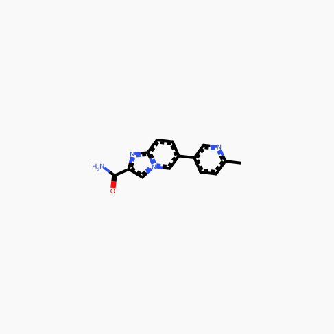 Cc1ccc(-c2ccc3nc(C(N)=O)cn3c2)cn1